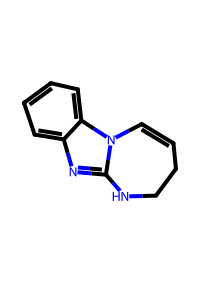 C1=Cn2c(nc3ccccc32)NCC1